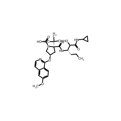 CCC[C@H](NC(=O)[C@@]1(C(C)(C)C)C[C@@H](Oc2nccc3cc(OC)ccc23)CN1C(=O)O)C(O)C(=O)NC1CC1